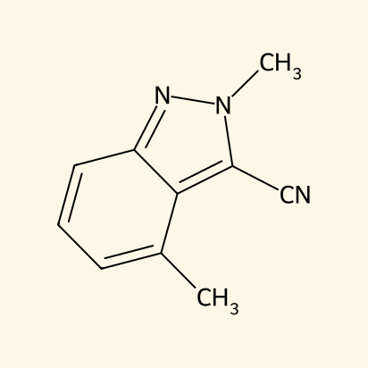 Cc1cccc2nn(C)c(C#N)c12